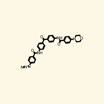 [N-]=[N+]=Nc1ccc(C(=O)Nc2ccc(C(=O)c3ccc(NC(=O)c4ccc(N5CCOCC5)cc4)cc3)cc2)cc1